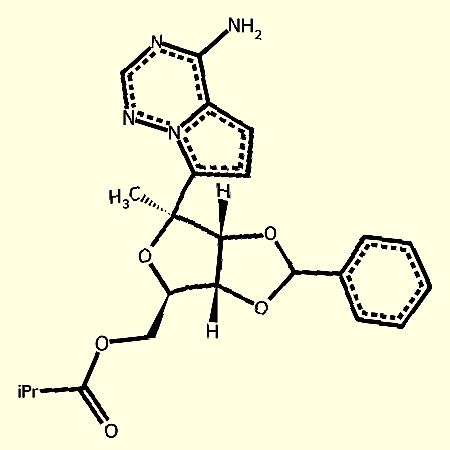 CC(C)C(=O)OC[C@H]1O[C@@](C)(c2ccc3c(N)ncnn23)[C@@H]2OC(c3ccccc3)O[C@@H]21